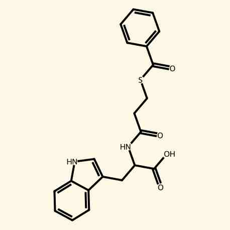 O=C(CCSC(=O)c1ccccc1)NC(Cc1c[nH]c2ccccc12)C(=O)O